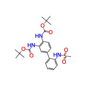 CC(C)(C)OC(=O)Nc1ccc(-c2ccccc2NS(C)(=O)=O)cc1NC(=O)OC(C)(C)C